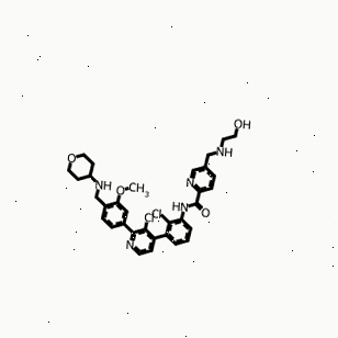 COc1cc(-c2nccc(-c3cccc(NC(=O)c4ccc(CNCCO)cn4)c3Cl)c2Cl)ccc1CNC1CCOCC1